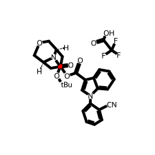 CC(C)(C)OC(=O)N1[C@@H]2COC[C@H]1CC(OC(=O)c1cn(-c3ccccc3C#N)c3ccccc13)C2.O=C(O)C(F)(F)F